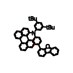 CC(C)(C)c1cc(N(c2ccc(-c3cccc4c3oc3ccccc34)cc2)c2ccccc2-c2cccc3cccc(-c4ccccc4)c23)cc(C(C)(C)C)c1